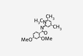 COc1ccc(C(=O)/N=c2\cc(C)cc(C)n2C)c(OC)c1